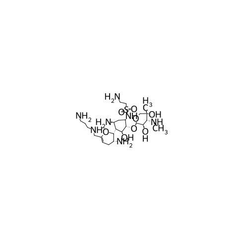 CN[C@@H]1[C@@H](O)[C@@H](O[C@H]2[C@H](NS(=O)(=O)CCN)C[C@H](N)C([C@H]3OC(CNCCCN)=CC[C@H]3N)[C@@H]2O)OC[C@]1(C)O